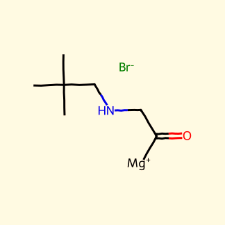 CC(C)(C)CNC[C](=O)[Mg+].[Br-]